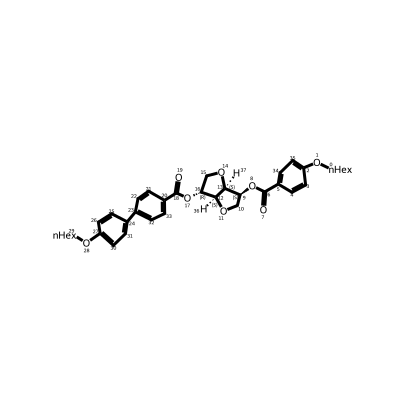 CCCCCCOc1ccc(C(=O)O[C@H]2CO[C@@H]3[C@H]2OC[C@H]3OC(=O)c2ccc(-c3ccc(OCCCCCC)cc3)cc2)cc1